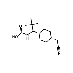 CC(C)(C)C(NC(=O)O)[C@H]1CC[C@H](CC#N)CC1